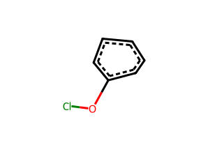 ClOc1ccccc1